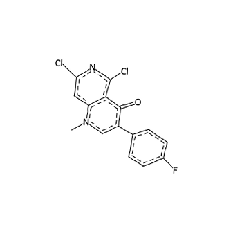 Cn1cc(-c2ccc(F)cc2)c(=O)c2c(Cl)nc(Cl)cc21